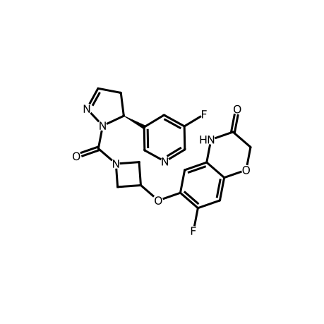 O=C1COc2cc(F)c(OC3CN(C(=O)N4N=CC[C@H]4c4cncc(F)c4)C3)cc2N1